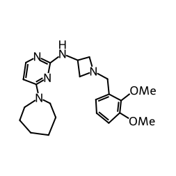 COc1cccc(CN2CC(Nc3nccc(N4CCCCCC4)n3)C2)c1OC